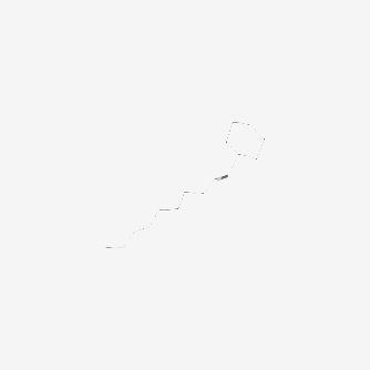 CCCCCCCCC=CC1CCCCC1